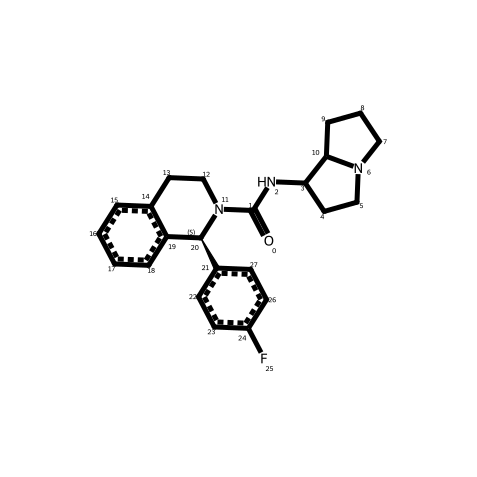 O=C(NC1CCN2CCCC12)N1CCc2ccccc2[C@@H]1c1ccc(F)cc1